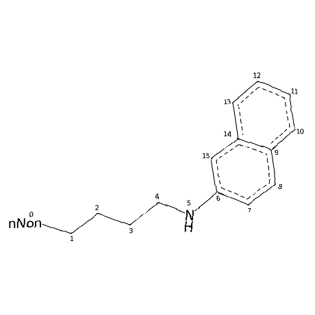 CCCCCCCCCCCCCNc1ccc2ccccc2c1